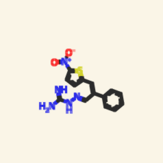 N=C(N)NN=CC(=Cc1ccc([N+](=O)[O-])s1)c1ccccc1